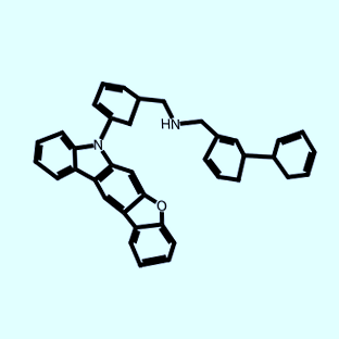 C1=CCC(C2C=C(CNCC3C=CC=C(n4c5ccccc5c5cc6c(cc54)oc4ccccc46)C3)C=CC2)C=C1